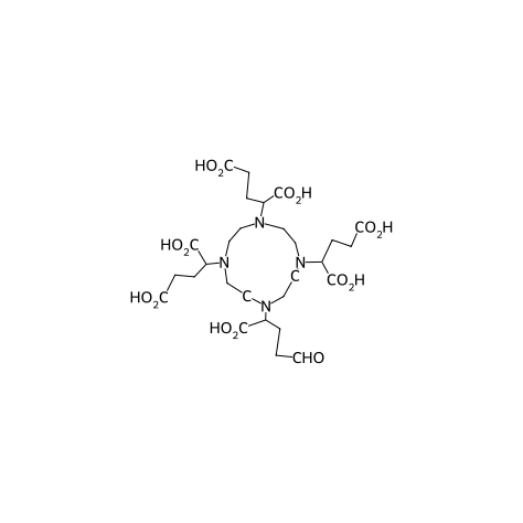 O=CCCC(C(=O)O)N1CCN(C(CCC(=O)O)C(=O)O)CCN(C(CCC(=O)O)C(=O)O)CCN(C(CCC(=O)O)C(=O)O)CC1